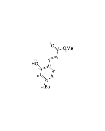 COC(=O)/C=C/c1ccc(C(C)(C)C)cc1O